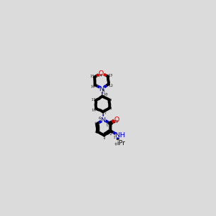 CC(C)Nc1cccn([C@H]2CC[C@@H](N3CCOCC3)CC2)c1=O